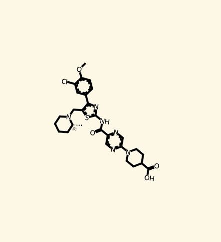 COc1ccc(-c2nc(NC(=O)c3cnc(N4CCC(C(=O)O)CC4)cn3)sc2CN2CCCC[C@H]2C)cc1Cl